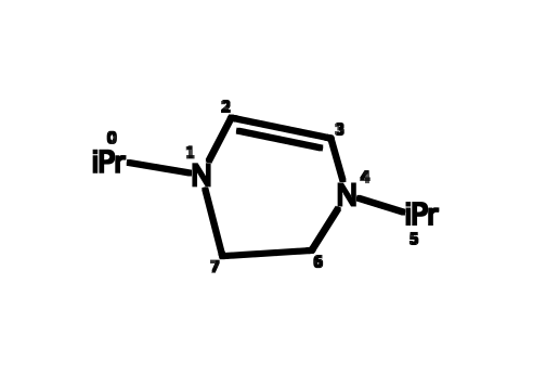 CC(C)N1C=CN(C(C)C)CC1